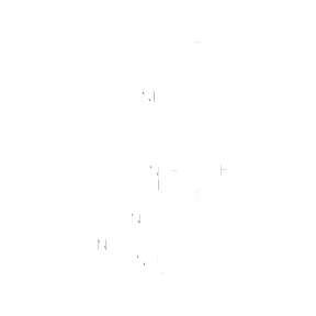 NC(=O)c1cc(-c2ccnc(N)n2)[nH]c1-c1cc(C(F)(F)F)ccc1C(F)(F)F